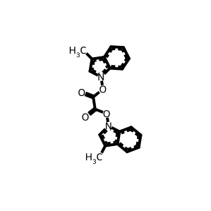 Cc1cn(OC(=O)C(=O)On2cc(C)c3ccccc32)c2ccccc12